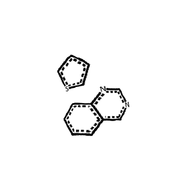 c1ccc2ncncc2c1.c1ccsc1